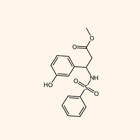 COC(=O)CC(NS(=O)(=O)c1ccccc1)c1cccc(O)c1